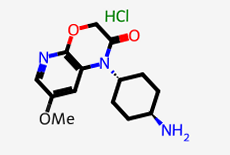 COc1cnc2c(c1)N([C@H]1CC[C@H](N)CC1)C(=O)CO2.Cl